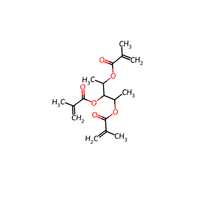 C=C(C)C(=O)OC(C)C(OC(=O)C(=C)C)C(C)OC(=O)C(=C)C